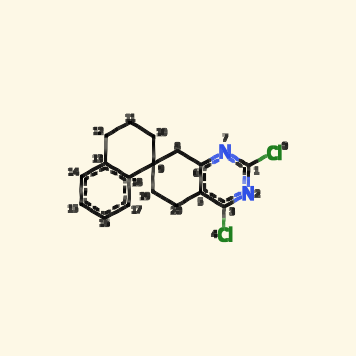 Clc1nc(Cl)c2c(n1)CC1(CCCc3ccccc31)CC2